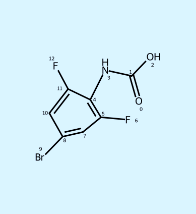 O=C(O)Nc1c(F)cc(Br)cc1F